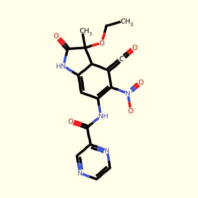 CCOC1(C)C(=O)NC2=CC(NC(=O)c3cnccn3)=C([N+](=O)[O-])C(=C=O)C21